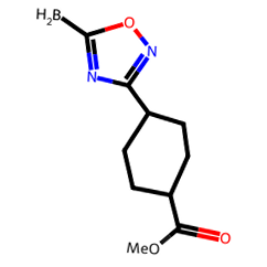 Bc1nc(C2CCC(C(=O)OC)CC2)no1